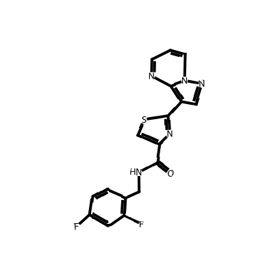 O=C(NCc1ccc(F)cc1F)c1csc(-c2cnn3cccnc23)n1